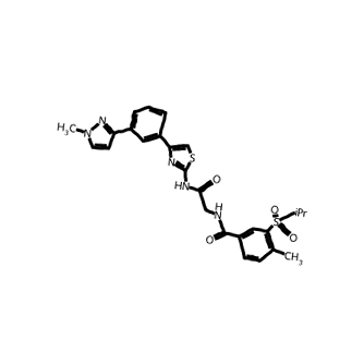 Cc1ccc(C(=O)NCC(=O)Nc2nc(-c3cccc(-c4ccn(C)n4)c3)cs2)cc1S(=O)(=O)C(C)C